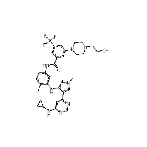 Cc1ccc(NC(=O)c2cc(N3CCN(CCO)CC3)cc(C(F)(F)F)c2)cc1Nc1nn(C)cc1-c1cc(NC2CC2)ncn1